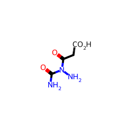 NC(=O)N(N)C(=O)CC(=O)O